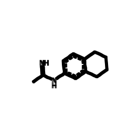 CC(=N)Nc1ccc2c(c1)CCCC2